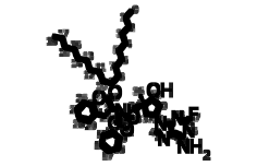 CCCCCCCCCC(CCCCCCCCC)OC(=O)[C@H](Cc1ccccc1)N[P@@](=O)(OC[C@@]1(C)C[C@@H](n2cnc3c(N)nc(F)nc32)C[C@@H]1O)Oc1ccccc1